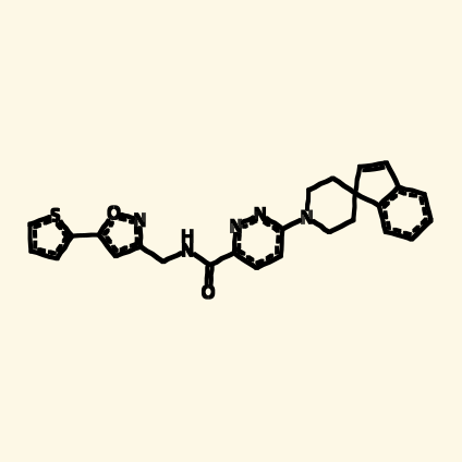 O=C(NCc1cc(-c2cccs2)on1)c1ccc(N2CCC3(C=Cc4ccccc43)CC2)nn1